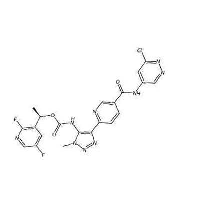 C[C@@H](OC(=O)Nc1c(-c2ccc(C(=O)Nc3cnnc(Cl)c3)cn2)nnn1C)c1cc(F)cnc1F